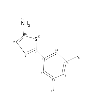 Cc1cc(C)cc(-c2ccc(N)s2)c1